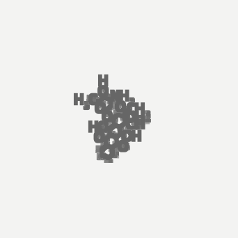 CC(=O)[C@]1(O)Cc2c(O)c3c(c(O)c2[C@@H](OC2CC(N)C(O)C(C)O2)C1)C(=O)c1ccccc1C3=O.[Cl-].[H+]